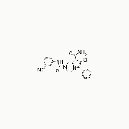 N#Cc1cccc(NC(=O)N2CCn3c(c(C(N)=O)c(Cl)c3-c3ccccc3)C2)c1